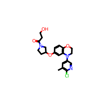 Cc1cc(N2CCOc3ccc(OC4CCN(C(=O)CCO)C4)cc32)cnc1Cl